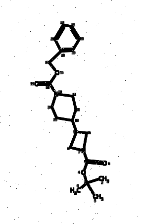 CC(C)(C)OC(=O)N1CC(C2CCN(C(=O)OCc3ccccc3)CC2)C1